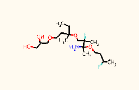 CCC(C)(CCOCC(O)CO)OCC(C)(F)C(C)(N)OCCC(C)F